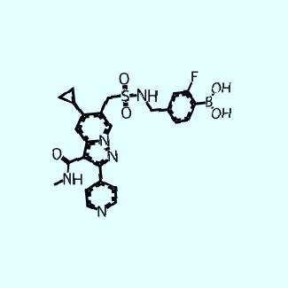 CNC(=O)c1c(-c2ccncc2)nn2cc(CS(=O)(=O)NCc3ccc(B(O)O)c(F)c3)c(C3CC3)cc12